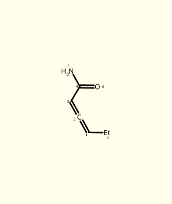 CCC=C=CC(N)=O